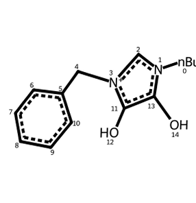 CCCCn1c[n+](Cc2ccccc2)c(O)c1O